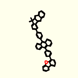 CC1(C)c2ccc(-c3ccc(-c4c5ccccc5c(-c5ccc(-c6cccc7c6oc6ccccc67)cc5)c5ccccc45)cc3)cc2-c2cc3ccccc3cc21